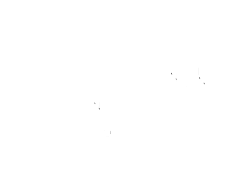 O=C(C#Cc1cnc2c(c1)CCCN2)N1CC2C=C(c3ccccc3)CC2C1